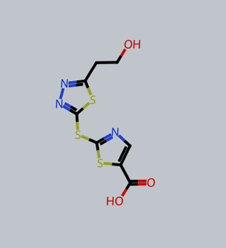 O=C(O)c1cnc(Sc2nnc(CCO)s2)s1